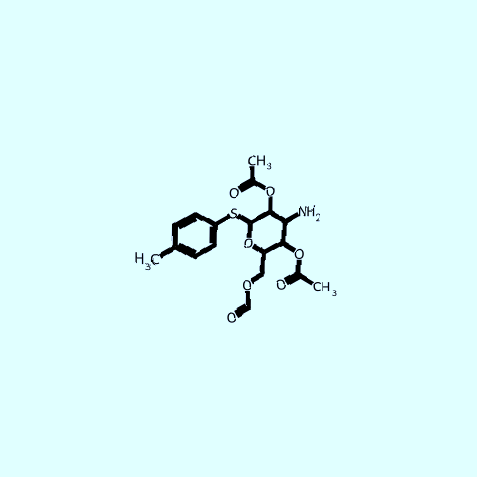 CC(=O)OC1C(COC=O)OC(Sc2ccc(C)cc2)C(OC(C)=O)C1N